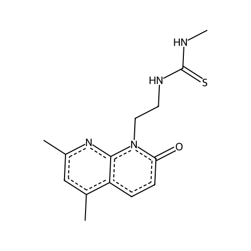 CNC(=S)NCCn1c(=O)ccc2c(C)cc(C)nc21